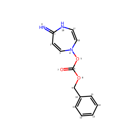 N=C1C=CN(OC(=O)OCc2ccccc2)C=CN1